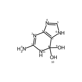 NC1=Nc2nc[nH]c2C(O)(O)N1